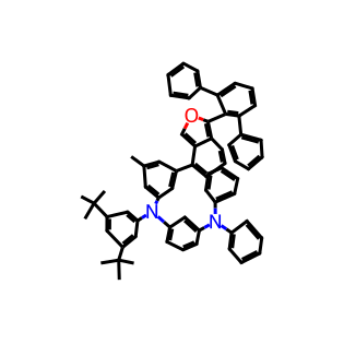 Cc1cc(-c2cccc3c(-c4c(-c5ccccc5)cccc4-c4ccccc4)occ23)cc(N(c2cccc(N(c3ccccc3)c3ccccc3)c2)c2cc(C(C)(C)C)cc(C(C)(C)C)c2)c1